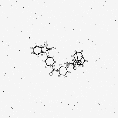 O=C(N1CCC(n2c(=O)[nH]c3ccccc32)CC1)N1CCC[C@H](NC(=O)C23CC4CC(C2)C(O)C(C4)C3)C1